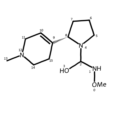 CONC(O)N1CCC[C@H]1C1=CCN(C)CC1